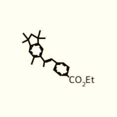 CCOC(=O)c1ccc(C=C(C)c2cc3c(cc2C)C(C)(C)CC3(C)C)cc1